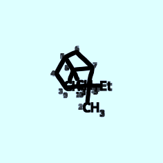 CCC1(C)CCC2CC1C2(C)C